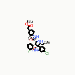 COc1cc(CC(=O)OC(C)(C)C)ccc1NC(=O)[C@@H]1N[C@@H](CC(C)(C)C)[C@@]2(C(=O)Nc3cc(Cl)ccc32)[C@H]1c1cccc(Cl)c1F